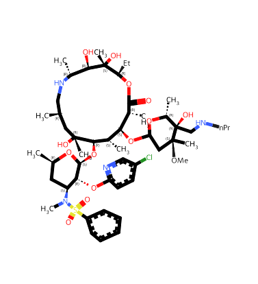 CCCNC[C@@]1(O)[C@@H](C)OC(O[C@H]2[C@H](C)[C@@H](O[C@@H]3O[C@H](C)C[C@H](N(C)S(=O)(=O)c4ccccc4)[C@H]3Oc3ccc(Cl)cn3)[C@](C)(O)C[C@@H](C)CN[C@H](C)[C@@H](O)[C@](C)(O)[C@@H](CC)OC(=O)[C@@H]2C)C[C@]1(C)OC